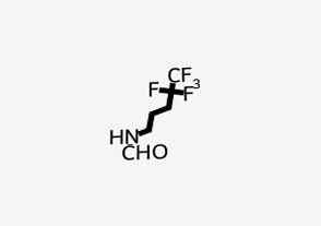 O=CNCCCC(F)(F)C(F)(F)F